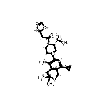 CC(C)[C@@H]1CN(c2nc(C3CC3)c3c(c2N)CC(C)(C)OC3)CCN1C(=O)Cc1nnco1